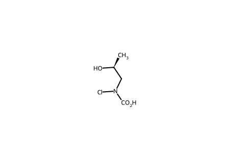 C[C@H](O)CN(Cl)C(=O)O